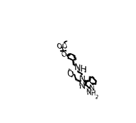 CCOC(=O)C(C)(C)Oc1cccc(CNCCn2c(CCOC)nc3c(N)nc4ccccc4c32)c1